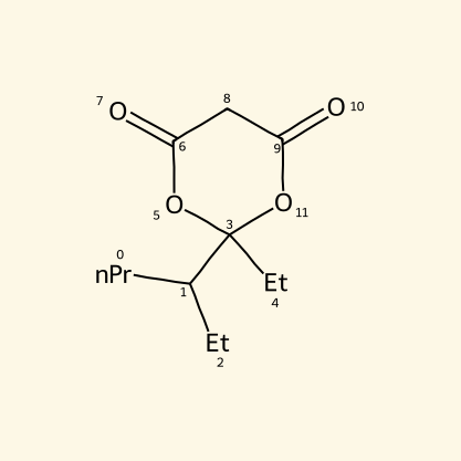 CCCC(CC)C1(CC)OC(=O)CC(=O)O1